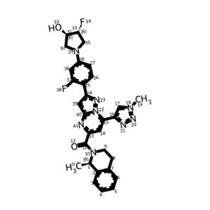 C[C@@H]1c2ccccc2CCN1C(=O)c1cc(-c2cn(C)nn2)n2nc(-c3ccc(N4C[C@@H](O)[C@H](F)C4)cc3F)cc2n1